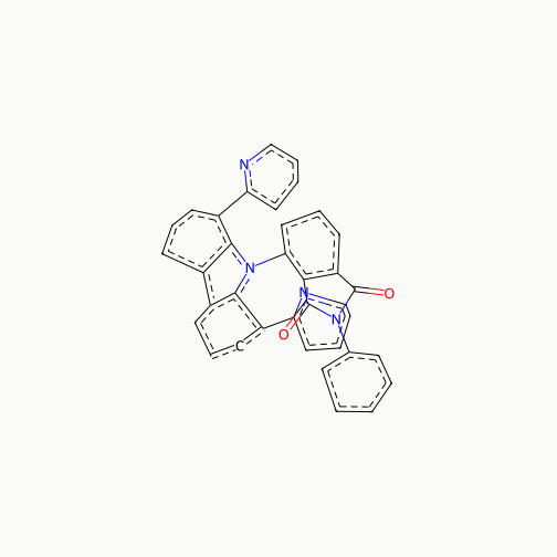 O=C1c2cccc(-n3c4c(-c5ccccn5)cccc4c4cccc(-c5ccccn5)c43)c2C(=O)N1c1ccccc1